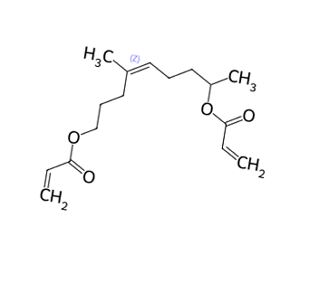 C=CC(=O)OCCC/C(C)=C\CCC(C)OC(=O)C=C